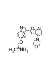 C[C@@H](N)COc1ccc2ncc(-c3cc4c(N5CCOCC5)ccnc4o3)n2n1